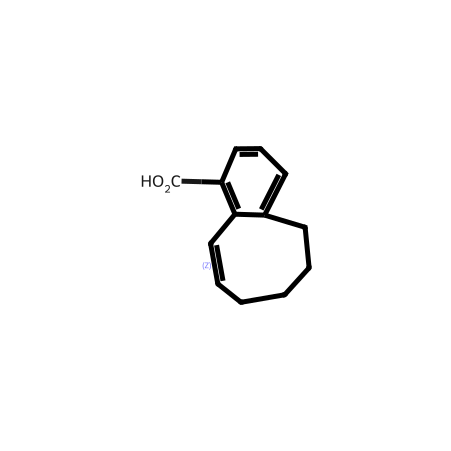 O=C(O)c1cccc2c1/C=C\CCCC2